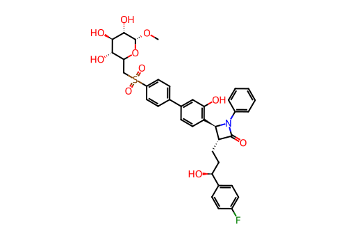 CO[C@@H]1OC(CS(=O)(=O)c2ccc(-c3ccc([C@@H]4[C@@H](CC[C@H](O)c5ccc(F)cc5)C(=O)N4c4ccccc4)c(O)c3)cc2)[C@H](O)[C@@H](O)[C@@H]1O